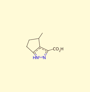 CC1CCc2[nH]nc(C(=O)O)c21